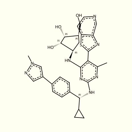 Cc1nc(N[C@@H](c2ccc(-c3cnn(C)c3)cc2)C2CC2)nc(N[C@@H]2C[C@H](CO)[C@@H](O)[C@H]2O)c1-c1nc2cnccc2s1